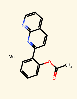 CC(=O)Oc1ccccc1-c1ccc2cccnc2n1.[Mn]